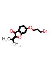 CC(C)=C1Oc2cc(OCCCBr)ccc2C1=O